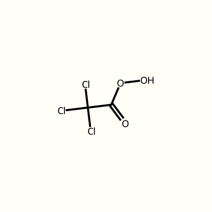 O=C(OO)C(Cl)(Cl)Cl